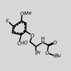 COc1cc(OCC(NC(=O)OC(C)(C)C)C(C)C)c(C=O)cc1F